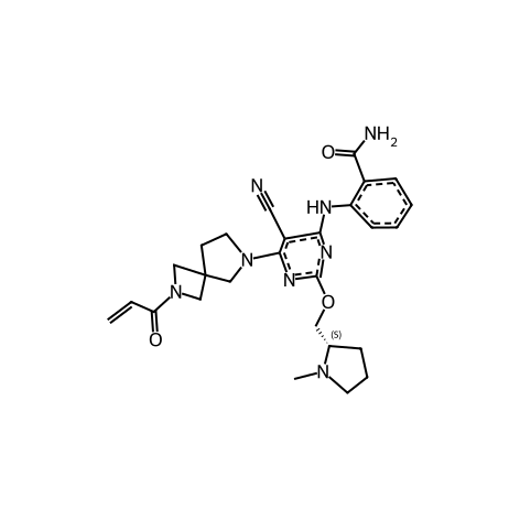 C=CC(=O)N1CC2(CCN(c3nc(OC[C@@H]4CCCN4C)nc(Nc4ccccc4C(N)=O)c3C#N)C2)C1